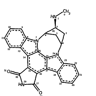 CN[C@H]1CC2CC1n1c3ccccc3c3c4c(c5c6ccccc6n2c5c31)C(=O)NC4=O